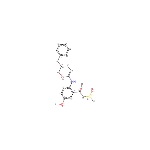 COc1ccc(NC2=CC=C(Cc3ccccc3)CO2)c(C(=O)C[S+](C)[O-])c1